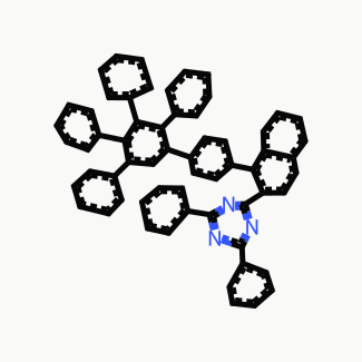 c1ccc(-c2nc(-c3ccccc3)nc(-c3ccc4ccccc4c3-c3ccc(-c4cc(-c5ccccc5)c(-c5ccccc5)c(-c5ccccc5)c4-c4ccccc4)cc3)n2)cc1